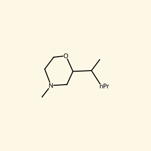 CCCC(C)C1CN(C)CCO1